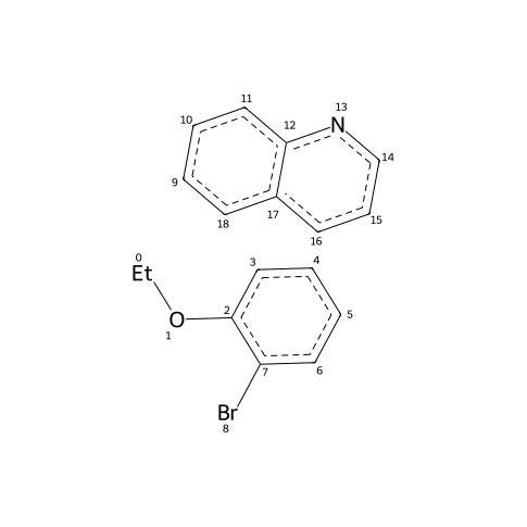 CCOc1ccccc1Br.c1ccc2ncccc2c1